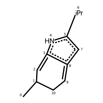 CC1C=c2[nH]c(C(C)C)cc2=CC1